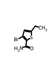 CCc1cc(Br)c(C(N)=O)s1